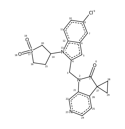 O=C1N(Cc2cc3cc(Cl)ccc3n2C2CCS(=O)(=O)C2)c2cnccc2C12CC2